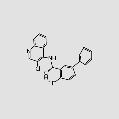 C[C@@H](Nc1c(Cl)cnc2ccccc12)c1cc(-c2ccccc2)ccc1F